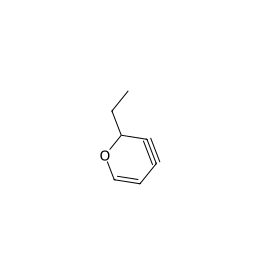 CCC1C#CC=CO1